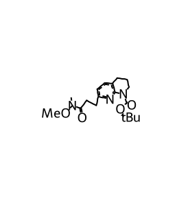 CON(C)C(=O)CCc1ccc2c(n1)N(C(=O)OC(C)(C)C)CCC2